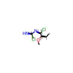 C/C=C(OC)\C(Cl)=N/C(=N)Cl